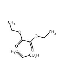 C=CC(=O)O.CCOC(=O)C(=O)OCC